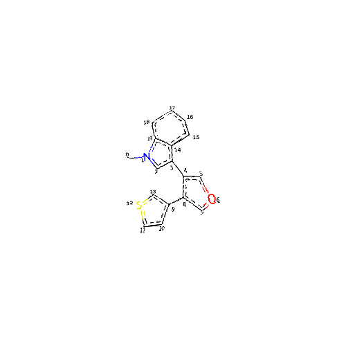 Cn1cc(-c2cocc2-c2ccsc2)c2ccccc21